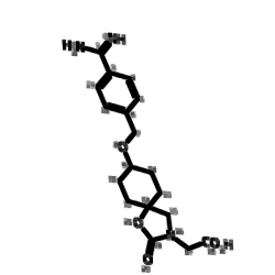 N=C(N)c1ccc(COC2CCC3(CC2)CN(CC(=O)O)C(=O)O3)cc1